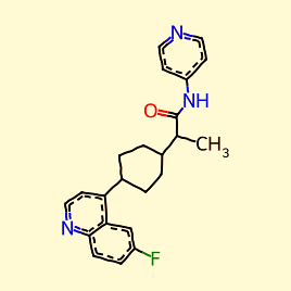 CC(C(=O)Nc1ccncc1)C1CCC(c2ccnc3ccc(F)cc23)CC1